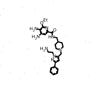 CCOc1nc(C(=O)NCC2CCN(Cc3cc(-c4ccccc4)nn3CCN)CC2)cc(N)c1N